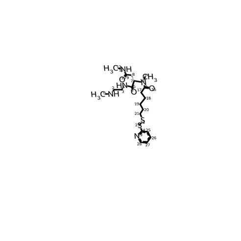 CNCCNC(=O)[C@H](CC(=O)NC)N(C)C(=O)CCCCCSSc1ccccn1